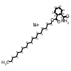 CCCCCCCCCCCCCCCCCCOC(=O)c1ccccc1C(N)=O.[Na]